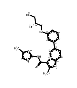 Cc1cnc(NC(=O)c2c(C)nc3ccc(-c4cccc(OC[C@H](O)CO)c4)nn23)s1